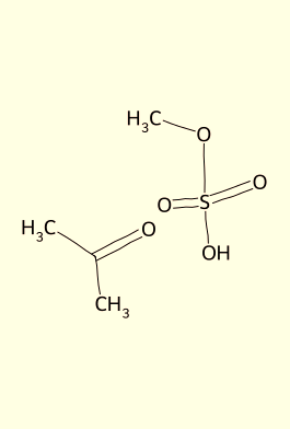 CC(C)=O.COS(=O)(=O)O